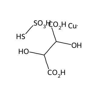 O=C(O)C(O)C(O)C(=O)O.O=S(=O)(O)S.[Cu]